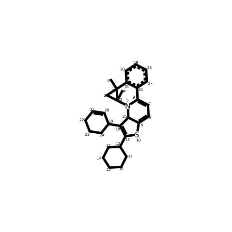 CC12CC1(C)N1C(=CC=C3SC(C4CCCCC4)=C(C4C=CCCC4)C31)c1ccccc12